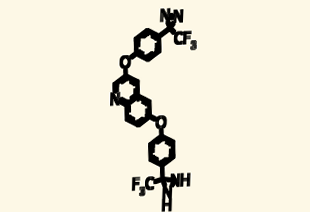 FC(F)(F)C1(c2ccc(Oc3cnc4ccc(Oc5ccc(C6(C(F)(F)F)NN6)cc5)cc4c3)cc2)N=N1